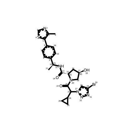 Cc1ncsc1-c1ccc([C@H](C)NC(=O)[C@@H]2C[C@@H](O)CN2C(=O)C(C2CC2)n2cc(Br)nn2)cc1